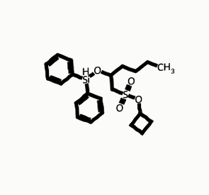 CCCCC(CS(=O)(=O)OC1CCC1)O[SiH](c1ccccc1)c1ccccc1